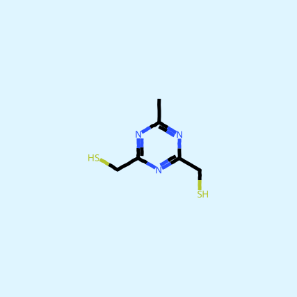 Cc1nc(CS)nc(CS)n1